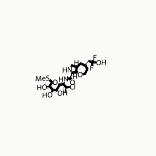 CSC1O[C@H]([C@H](NC(=O)[C@H]2NC[C@@H]3C[C@H](CC(O)(F)F)CCO[C@H]32)[C@H](C)Cl)C(O)C(O)[C@H]1O